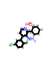 Nc1c(-c2cc(F)ccc2F)ccnc1C1CCCCC1O